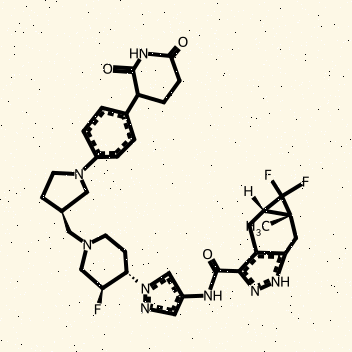 C[C@@]12Cc3[nH]nc(C(=O)Nc4cnn([C@H]5CCN(C[C@H]6CCN(c7ccc(C8CCC(=O)NC8=O)cc7)C6)C[C@@H]5F)c4)c3C[C@@H]1C2(F)F